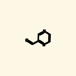 O=Cc1cnccn1